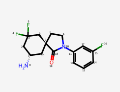 N[C@@H]1CC(F)(F)C[C@]2(CCN(c3cccc(F)c3)C2=O)C1